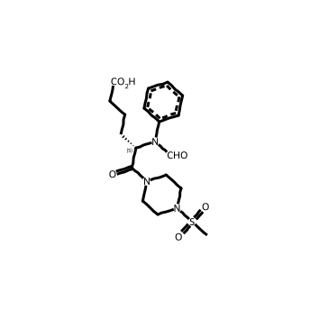 CS(=O)(=O)N1CCN(C(=O)[C@H](CCCC(=O)O)N(C=O)c2ccccc2)CC1